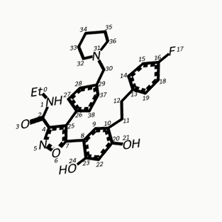 CCNC(=O)c1noc(-c2cc(CCc3ccc(F)cc3)c(O)cc2O)c1-c1ccc(CN2CCCCC2)cc1